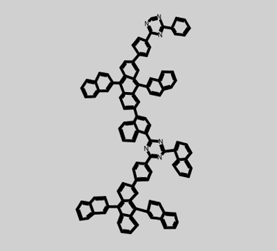 c1ccc(-c2ncnc(-c3ccc(-c4ccc5c(-c6ccc7ccccc7c6)c6ccc(-c7ccc(-c8nc(-c9ccc(-c%10ccc%11c(-c%12ccc%13ccccc%13c%12)c%12ccccc%12c(-c%12ccc%13ccccc%13c%12)c%11c%10)cc9)nc(-c9cccc%10ccccc9%10)n8)c8ccccc78)cc6c(-c6ccc7ccccc7c6)c5c4)cc3)n2)cc1